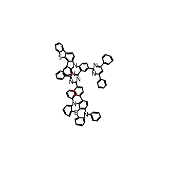 c1ccc(-c2cc(-c3ccccc3)nc(-c3ccc(-n4c5ccccc5c5c6sc7ccccc7c6ccc54)c(-c4nc(-c5ccccc5)nc(-c5ccc(-c6ccc7c8c6N(c6ccccc6)c6ccccc6B8c6ccccc6N7c6ccccc6)cc5)n4)c3)n2)cc1